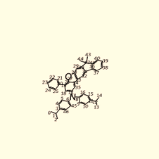 CC(C)c1ccc(N(c2ccc(C(C)C)cc2)c2cc(-c3ccccc3)c3oc4cc5c(cc4c3c2)-c2ccccc2C5(C)C)cc1